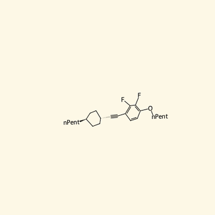 CCCCCOc1ccc(C#C[C@H]2CC[C@H](CCCCC)CC2)c(F)c1F